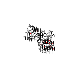 CC(C)[Si](O)(C(C)C)C(C)C.[2H]C([2H])([2H])C([2H])(C([2H])([2H])[2H])[Si](Cl)(C([2H])(C([2H])([2H])[2H])C([2H])([2H])[2H])C([2H])(C([2H])([2H])[2H])C([2H])([2H])[2H].[2H]C([2H])([2H])C([2H])([2H])[Si](OS(=O)(=O)C(F)(F)F)(C([2H])([2H])C([2H])([2H])[2H])C([2H])([2H])C([2H])([2H])[2H]